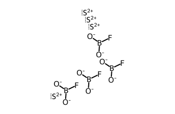 [O-]B([O-])F.[O-]B([O-])F.[O-]B([O-])F.[O-]B([O-])F.[S+2].[S+2].[S+2].[S+2]